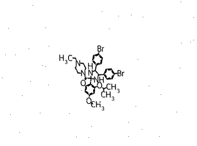 CCN1CCN(C(=O)C2(c3ccc(OC)cc3OC(C)C)NC(c3ccc(Br)cc3)C(c3ccc(Br)cc3)N2)CC1